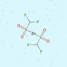 O=[S](=O)([Zn][S](=O)(=O)C(F)F)C(F)F